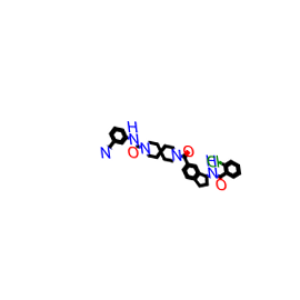 N#Cc1cccc(NC(=O)N2CCC3(CC2)CCN(C(=O)c2ccc4c(c2)C(NC(=O)c2ccccc2Cl)CC4)CC3)c1